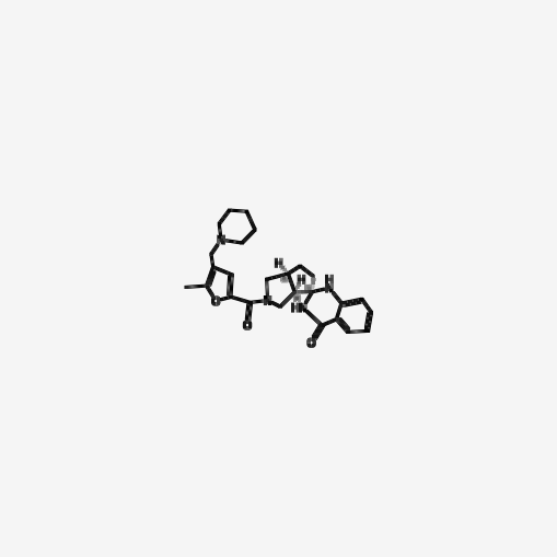 Cc1oc(C(=O)N2C[C@H]3CC[C@]4(NC(=O)c5ccccc5N4)[C@H]3C2)cc1CN1CCCCC1